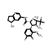 COc1c([C@H]2[C@H](C(=O)Nc3cnc4c(c3)[C@H](O)CC4)O[C@@](C)(C(F)(F)F)[C@H]2C)ccc(F)c1F